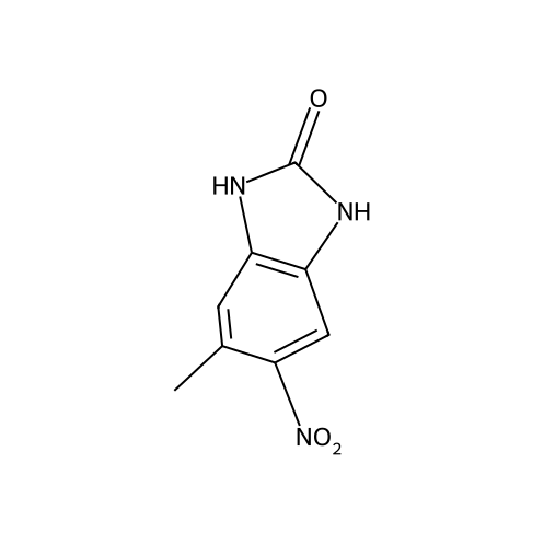 Cc1cc2[nH]c(=O)[nH]c2cc1[N+](=O)[O-]